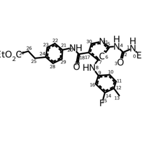 CCNC(=O)Nc1cc(Nc2ccc(C)c(F)c2)c(C(=O)Nc2ccc(CCC(=O)OCC)cc2)cn1